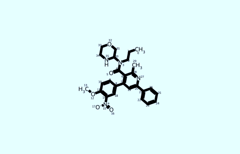 CCCN(C(=O)c1c(-c2ccc(OC)c([N+](=O)[O-])c2)cc(-c2ccccc2)nc1C)C1COCCN1